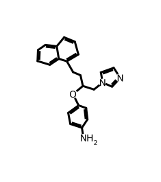 Nc1ccc(OC(CCc2cccc3ccccc23)Cn2ccnc2)cc1